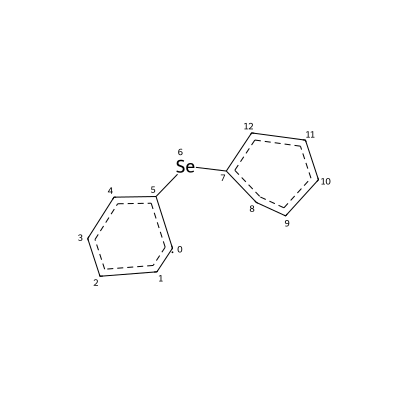 [c]1ccccc1[Se]c1ccccc1